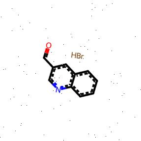 Br.O=Cc1cnc2ccccc2c1